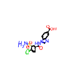 NS(=O)(=O)c1cc(C(=O)Nn2cnc3cc(C(=O)O)ccc32)ccc1Cl